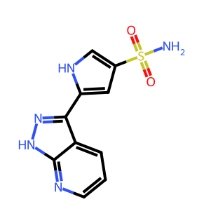 NS(=O)(=O)c1c[nH]c(-c2n[nH]c3ncccc23)c1